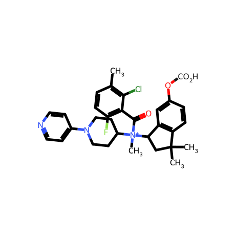 Cc1ccc(F)c(C(=O)[N+](C)(C2CCN(c3ccncc3)CC2)C2CC(C)(C)c3ccc(OC(=O)O)cc32)c1Cl